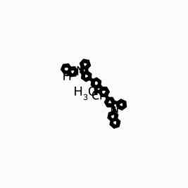 CC1(C)C2=C(CCC(c3ccc4c(c3)c3ccccc3n4C3=CC[C@@H]4CCC=CC4=C3)=C2)C2=CC=C(c3ccc4c(c3)c3ccccc3n4C3=CCC4C=CC=CC4=C3)CC21